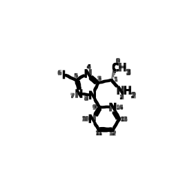 C[C@H](N)c1nc(I)nn1-c1ncccn1